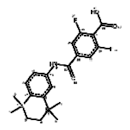 C[Si]1(C)CC[Si](C)(C)c2cc(NC(=O)c3cc(F)c(C(=O)O)c(F)c3)ccc21